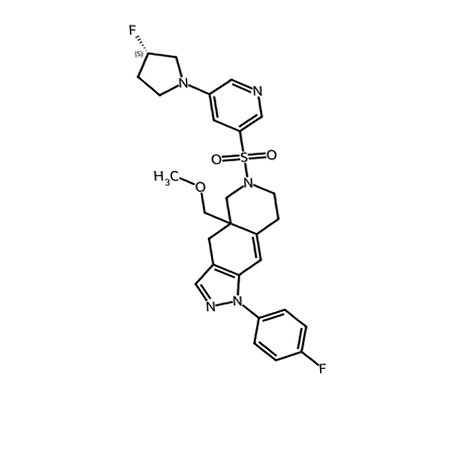 COCC12Cc3cnn(-c4ccc(F)cc4)c3C=C1CCN(S(=O)(=O)c1cncc(N3CC[C@H](F)C3)c1)C2